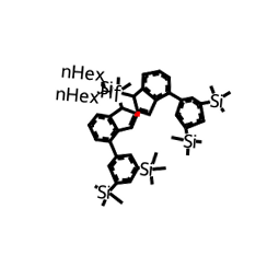 CCCCCC[Si](CCCCCC)=[Hf]([CH3])([CH3])([CH]1C=Cc2c(-c3cc([Si](C)(C)C)cc([Si](C)(C)C)c3)cccc21)[CH]1C=Cc2c(-c3cc([Si](C)(C)C)cc([Si](C)(C)C)c3)cccc21